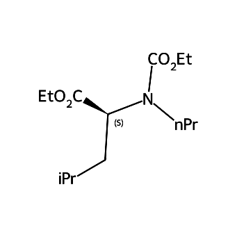 CCCN(C(=O)OCC)[C@@H](CC(C)C)C(=O)OCC